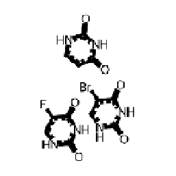 O=c1[nH]cc(Br)c(=O)[nH]1.O=c1[nH]cc(F)c(=O)[nH]1.O=c1cc[nH]c(=O)[nH]1